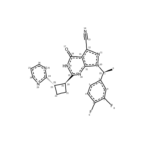 C[C@@H](c1ccc(F)c(F)c1)n1nc(C#N)c2c(=O)[nH]c([C@H]3CC[C@@H]3c3ncccn3)nc21